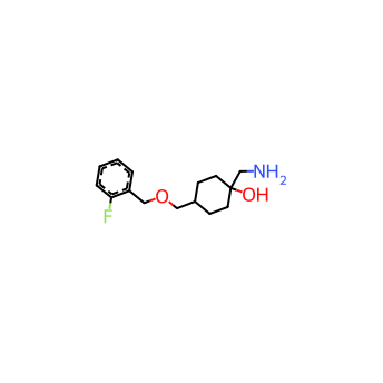 NCC1(O)CCC(COCc2ccccc2F)CC1